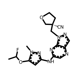 CC(F)Oc1cc(Nc2cnc3cnn(C[C@]4(C#N)CCOC4)c3n2)nn1C